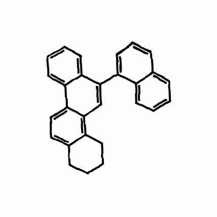 c1ccc2c(-c3cc4c5c(ccc4c4ccccc34)CCCC5)cccc2c1